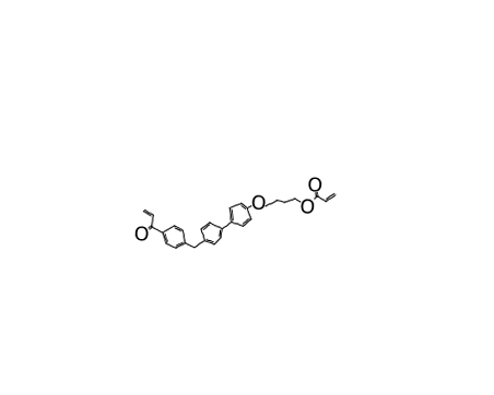 C=CC(=O)OCCCCOc1ccc(-c2ccc(Cc3ccc(C(=O)C=C)cc3)cc2)cc1